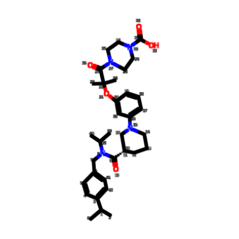 CC(C)c1ccc(CN(C(=O)[C@H]2CCCN(c3cccc(OC(C)(C)C(=O)N4CCN(C(=O)O)CC4)c3)C2)C(C)C)cc1